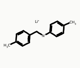 Cc1ccc(C[N-]c2ccc(C)cc2)cc1.[Li+]